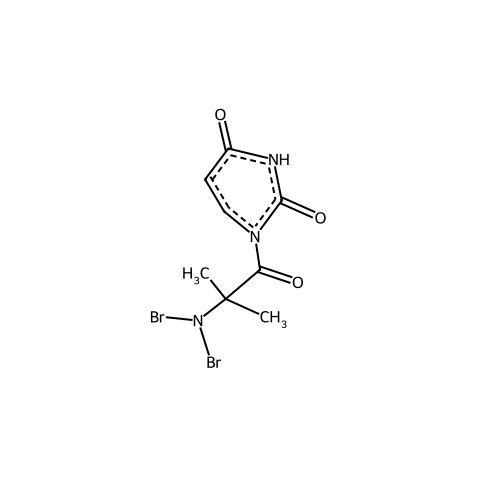 CC(C)(C(=O)n1ccc(=O)[nH]c1=O)N(Br)Br